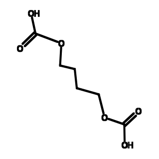 O=C(O)OCCCCOC(=O)O